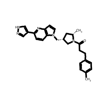 Cc1ccc(CCC(=O)N2C[C@H](Cn3ccc4nc(-c5cn[nH]c5)ccc43)C[C@@H]2C)cc1